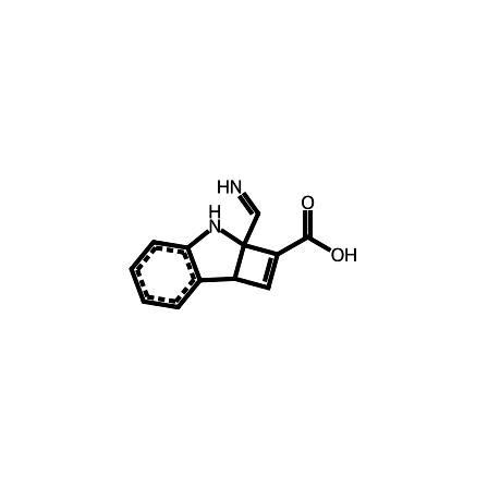 N=CC12Nc3ccccc3C1C=C2C(=O)O